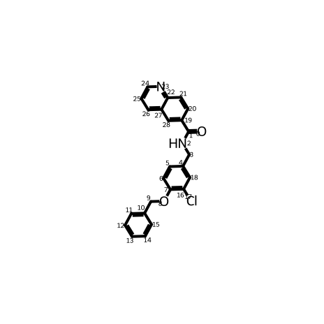 O=C(NCc1ccc(OCc2ccccc2)c(Cl)c1)c1ccc2ncccc2c1